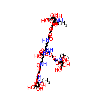 CC(=O)N[C@H]1[C@H](OCCOCCOCC(=O)NCCCC[C@H](NC(=O)COCCOCCO[C@@H]2O[C@H](CO)[C@H](O)[C@H](O)[C@H]2NC(C)=O)C(=O)N[C@@H](CCCCNC(=O)COCCOCCOC2O[C@H](CO)[C@H](O)[C@H](O)[C@H]2NC(C)=O)C(=O)O)O[C@H](CO)[C@H](O)[C@@H]1O